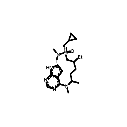 CCC(CCC(C)N(C)c1ncnc2[nH]ccc12)C[SH](=O)(CC1CC1)N(C)I